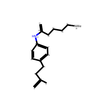 C=C(C)CCc1ccc(NC(=C)CCCCNC)cc1